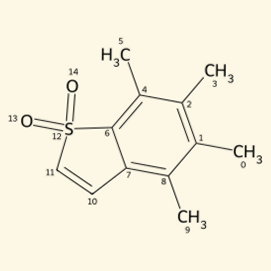 Cc1c(C)c(C)c2c(c1C)C=CS2(=O)=O